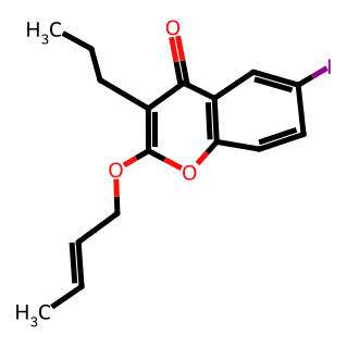 CC=CCOc1oc2ccc(I)cc2c(=O)c1CCC